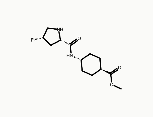 COC(=O)[C@H]1CC[C@H](NC(=O)[C@@H]2C[C@H](F)CN2)CC1